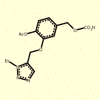 CCn1nncc1COc1cc(COC(=O)O)ccc1OC(C)=O